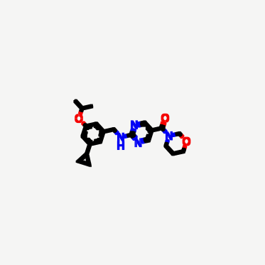 CC(C)Oc1cc(CNc2ncc(C(=O)N3CCCOC3)cn2)cc(C2CC2)c1